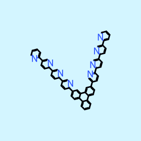 c1ccc(-c2ccc(-c3ccc(-c4ccc(-c5ccc6c7ccccc7c7ccc(-c8ccc(-c9ccc(-c%10ccc(-c%11ccccn%11)cn%10)cn9)nc8)cc7c6c5)nc4)nc3)nc2)nc1